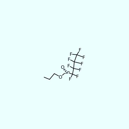 CCC[O][Sn](=[O])[C](F)(F)C(F)(F)C(F)(F)C(F)(F)F